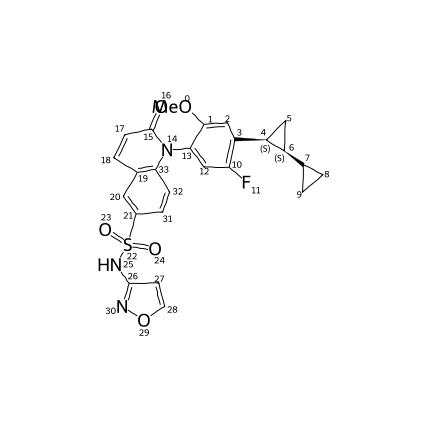 COc1cc([C@H]2C[C@H]2C2CC2)c(F)cc1-n1c(=O)ccc2cc(S(=O)(=O)Nc3ccon3)ccc21